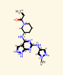 C=CC(=O)N1CCC[C@@H](Nc2nc(Nc3cnn(CCC)c3)nc3[nH]ncc23)C1